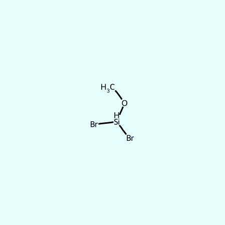 CO[SiH](Br)Br